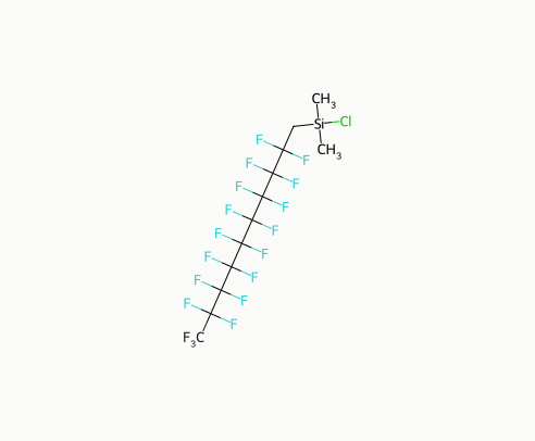 C[Si](C)(Cl)CC(F)(F)C(F)(F)C(F)(F)C(F)(F)C(F)(F)C(F)(F)C(F)(F)C(F)(F)C(F)(F)F